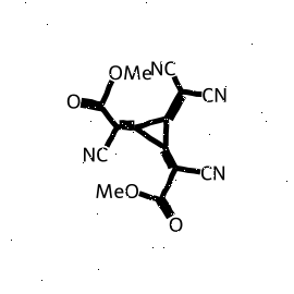 COC(=O)/C(C#N)=C1/C(=C(C#N)C#N)/C1=C(/C#N)C(=O)OC